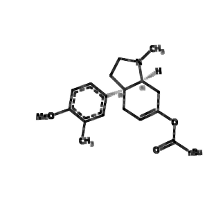 CCCCC(=O)OC1=CC[C@@]2(c3ccc(OC)c(C)c3)CCN(C)[C@H]2C1